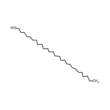 CCCCCCCCCCCCCCCCCCCCCCCCCC[CH]O